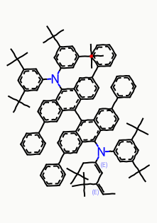 C/C=C(\C=C(/CC(C)(C)C)N(c1cc(C(C)(C)C)cc(C(C)(C)C)c1)c1c2ccc(-c3ccccc3)cc2c(-c2c3cc(-c4ccccc4)ccc3c(N(c3cc(C(C)(C)C)cc(C(C)(C)C)c3)c3cc(C(C)(C)C)cc(C(C)(C)C)c3)c3cc(-c4ccccc4)ccc23)c2ccc(-c3ccccc3)cc12)C(C)(C)C